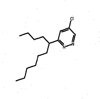 CCCCCCC(CCCC)c1cc(Cl)cnn1